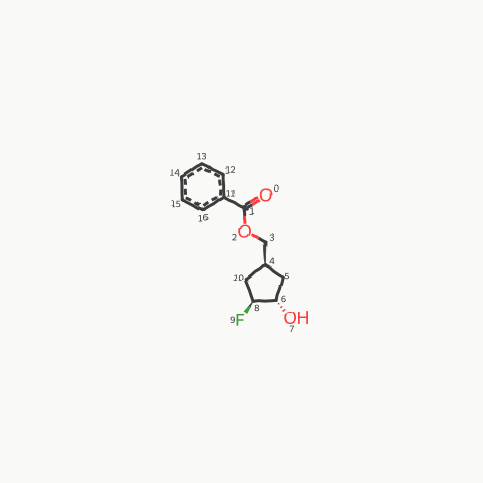 O=C(OC[C@H]1C[C@H](O)[C@@H](F)C1)c1ccccc1